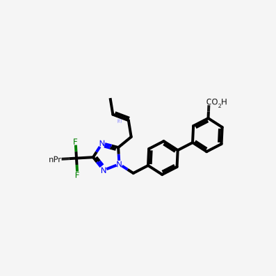 C/C=C/Cc1nc(C(F)(F)CCC)nn1Cc1ccc(-c2cccc(C(=O)O)c2)cc1